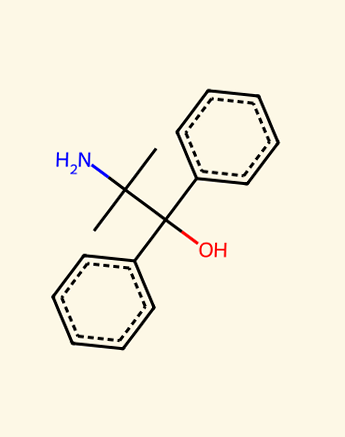 CC(C)(N)C(O)(c1ccccc1)c1ccccc1